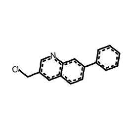 ClCc1cnc2cc(-c3ccccc3)ccc2c1